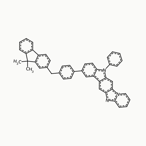 CC1(C)c2ccccc2-c2ccc(Cc3ccc(-c4ccc5c(c4)c4cc6nc7ccccn7c6cc4n5-c4ccccc4)cc3)cc21